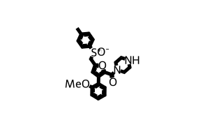 COc1ccccc1-c1cc(C[S+]([O-])c2ccc(C)cc2)oc1C(=O)N1CCNCC1